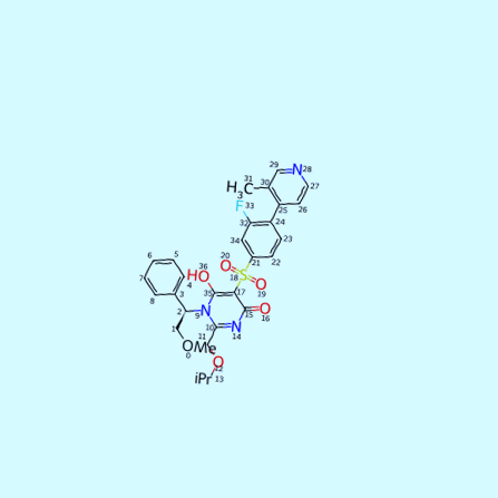 COC[C@@H](c1ccccc1)n1c(COC(C)C)nc(=O)c(S(=O)(=O)c2ccc(-c3ccncc3C)c(F)c2)c1O